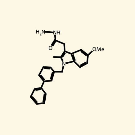 COc1ccc2c(c1)c(CC(=O)NN)c(C)n2Cc1cccc(-c2ccccc2)c1